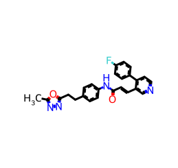 Cc1nnc(CCc2ccc(NC(=O)/C=C/c3cnccc3-c3ccc(F)cc3)cc2)o1